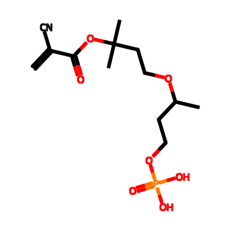 C=C(C#N)C(=O)OC(C)(C)CCOC(C)CCOP(=O)(O)O